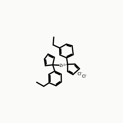 CCc1cccc([C]2([Zr+2][C]3(c4cccc(CC)c4)C=CC=C3)C=CC=C2)c1.[Cl-].[Cl-]